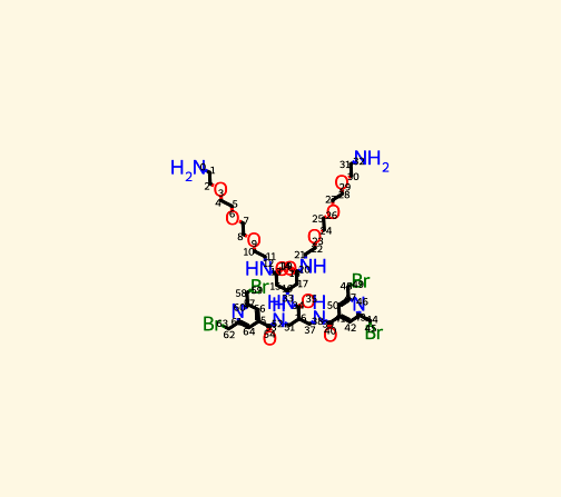 NCCOCCOCCOCCNC(=O)CC(CC(=O)NCCOCCOCCOCCN)NC(=O)C(CNC(=O)c1cc(CBr)nc(CBr)c1)CNC(=O)c1cc(CBr)nc(CBr)c1